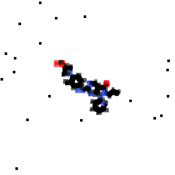 C=CCn1c(=O)c2cnc(Nc3ccc(N4CC(O)C4)c(C)c3)nc2n1-c1ccccn1